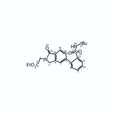 CCOC(=O)CN1Cc2cc(-c3ccccc3S(=O)(=O)NC(C)(C)C)ccc2C1=O